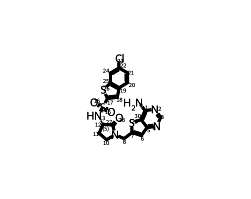 Nc1ncnc2cc(CN3CC[C@H](NS(=O)(=O)c4cc5ccc(Cl)cc5s4)C3=O)sc12